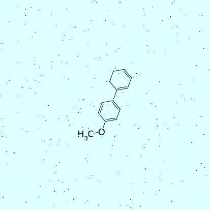 COc1ccc(C2=CC=CC[CH]2)cc1